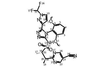 COc1cccc(OC)c1-n1c(NS(=O)(=O)[C@@H](C)[C@H](C)c2ncc(C#N)cn2)nnc1-c1ccn(C(F)F)n1